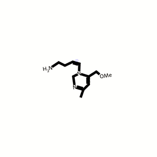 COCC1=CC(C)=NCN1/C=C\CCN